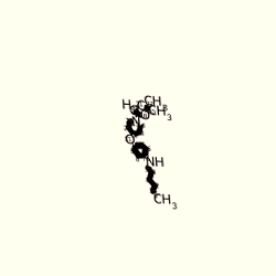 CCCCCCNc1ccc(OC2CCN(C(=O)OC(C)(C)C)CC2)cc1